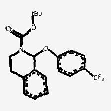 CC(C)(C)OC(=O)N1CCc2ccccc2C1Oc1ccc(C(F)(F)F)cc1